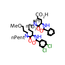 CCCCCN(CCCOC)C(=O)C(CCC(=O)O)NC(=O)c1ccc(Cl)c(Cl)c1.CCCN(CCC)C(=O)C(CCC(=O)O)NC(=O)c1ccccc1